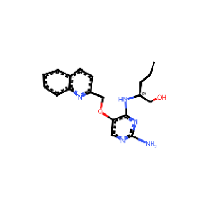 CCC[C@@H](CO)Nc1nc(N)ncc1OCc1ccc2ccccc2n1